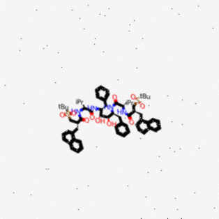 CC(C)[C@H](NC(=O)[C@H](Cc1cccc2ccccc12)CS(=O)(=O)C(C)(C)C)C(=O)N[C@@H](Cc1ccccc1)[C@@H](O)[C@H](O)[C@H](Cc1ccccc1)NC(=O)[C@@H](NC(=O)[C@H](Cc1cccc2ccccc12)CS(=O)(=O)C(C)(C)C)C(C)C